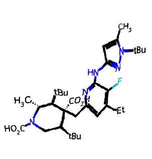 CCc1cc(C[C@@]2(C(=O)O)C(C(C)(C)C)CN(C(=O)O)[C@H](C)C2C(C)(C)C)nc(Nc2cc(C)n(C(C)(C)C)n2)c1F